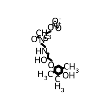 CC(=O)N(CCNCC(O)COc1cc(C)c(O)c(C)c1C)SCCO[N+](=O)[O-]